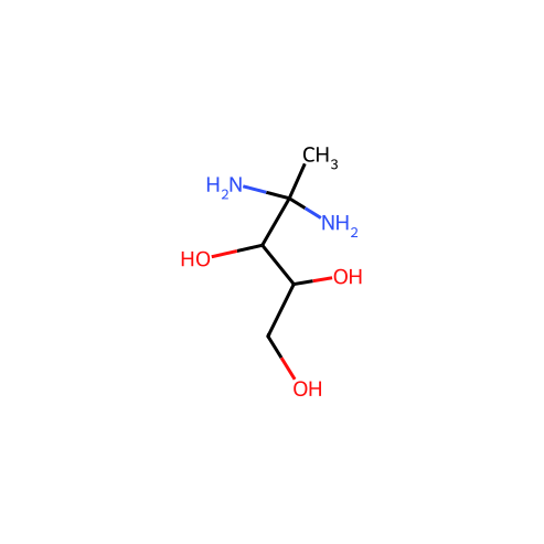 CC(N)(N)C(O)C(O)CO